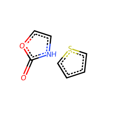 O=c1[nH]cco1.c1ccsc1